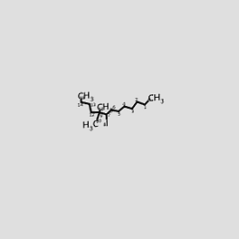 CCCCCCCC(I)C(C)(C)CCCC